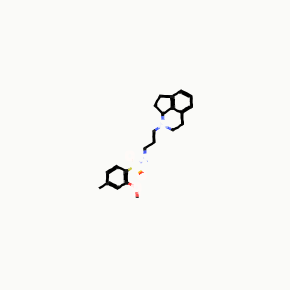 COc1cc(C)ccc1S(=O)(=O)NCCCN1CCc2cccc3c2C1CC3.Cl